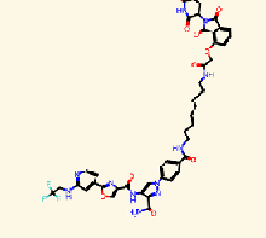 NC(=O)c1nn(-c2ccc(C(=O)NCCCCCCCCNC(=O)COc3cccc4c3C(=O)N(C3CCC(=O)NC3=O)C4=O)cc2)cc1NC(=O)c1coc(-c2ccnc(NCC(F)(F)F)c2)n1